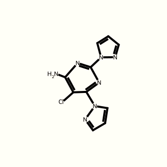 Nc1nc(-n2cccn2)nc(-n2cccn2)c1Cl